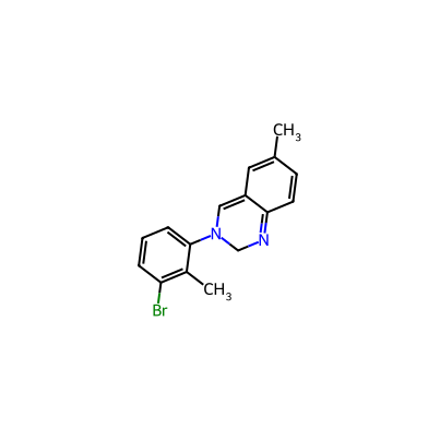 Cc1ccc2c(c1)=CN(c1cccc(Br)c1C)CN=2